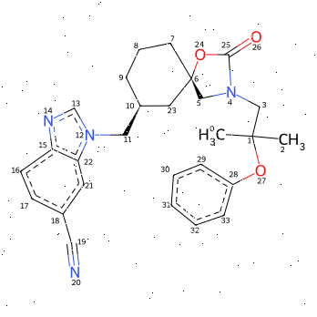 CC(C)(CN1C[C@@]2(CCC[C@H](Cn3cnc4ccc(C#N)cc43)C2)OC1=O)Oc1ccccc1